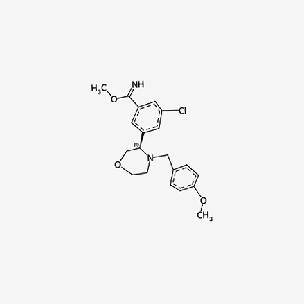 COC(=N)c1cc(Cl)cc([C@@H]2COCCN2Cc2ccc(OC)cc2)c1